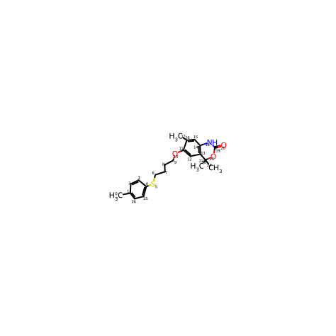 Cc1ccc(SCCCCOc2cc3c(cc2C)NC(=O)OC3(C)C)cc1